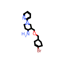 NC1CCN(c2ccccn2)CC1COCC1CC=C(Br)CC1